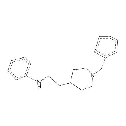 c1ccc(CN2CCC(CCNc3ccccc3)CC2)cc1